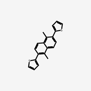 Cc1c(-c2cccs2)ccc2c(C)c(-c3cccs3)ccc12